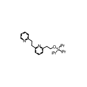 CC(C)[Si](OCCc1cccc(CCc2ccccn2)n1)(C(C)C)C(C)C